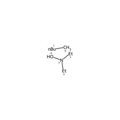 CCCCC.CCN(O)CC